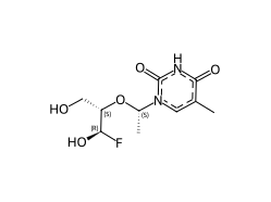 Cc1cn([C@H](C)O[C@@H](CO)[C@H](O)F)c(=O)[nH]c1=O